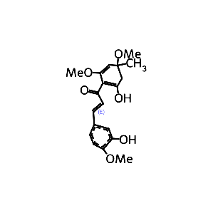 COC1=CC(C)(OC)CC(O)=C1C(=O)/C=C/c1ccc(OC)c(O)c1